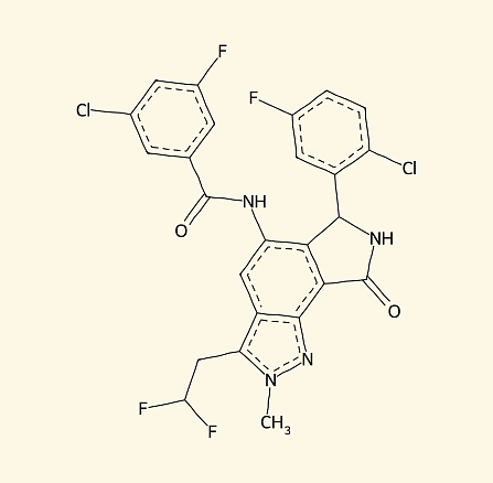 Cn1nc2c3c(c(NC(=O)c4cc(F)cc(Cl)c4)cc2c1CC(F)F)C(c1cc(F)ccc1Cl)NC3=O